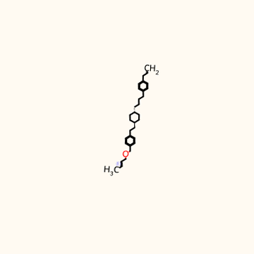 C=CCc1ccc(CCCC[C@H]2CC[C@H](CCc3ccc(COC/C=C/C)cc3)CC2)cc1